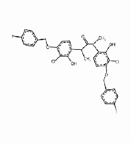 CC(C(=O)C(C)c1ccc(OCc2ccc(I)cc2)c(Cl)c1O)c1ccc(OCc2ccc(I)cc2)c(Cl)c1O